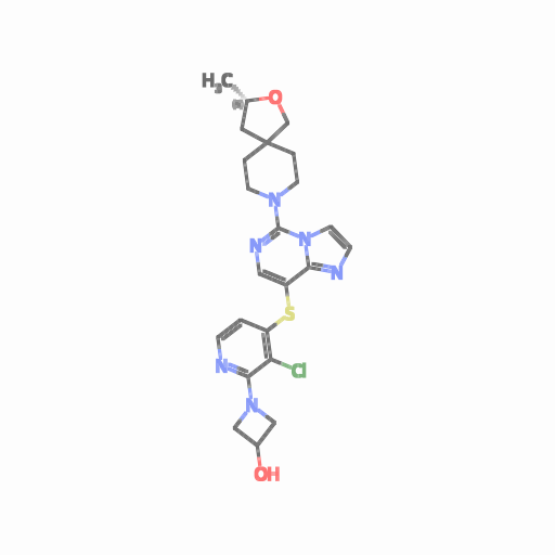 C[C@H]1CC2(CCN(c3ncc(Sc4ccnc(N5CC(O)C5)c4Cl)c4nccn34)CC2)CO1